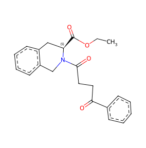 CCOC(=O)[C@@H]1Cc2ccccc2CN1C(=O)CCC(=O)c1ccccc1